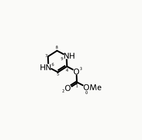 COC(=O)OC1=CNCCN1